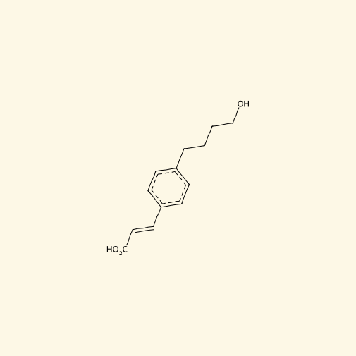 O=C(O)/C=C/c1ccc(CCCCO)cc1